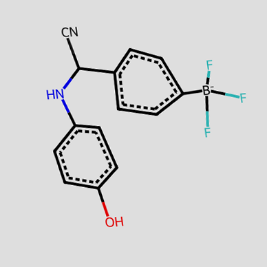 N#CC(Nc1ccc(O)cc1)c1ccc([B-](F)(F)F)cc1